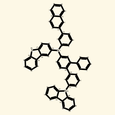 c1ccc(-c2cc(N(c3cccc(-c4ccc5ccccc5c4)c3)c3ccc4sc5ccccc5c4c3)ccc2-c2cccc(-n3c4ccccc4c4ccccc43)c2)cc1